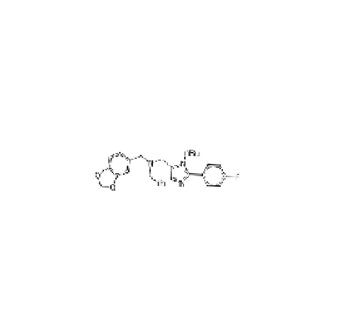 CCCCn1c(CN(Cc2ccc3c(c2)OCO3)CC(C)C)cnc1-c1ccc(F)cc1